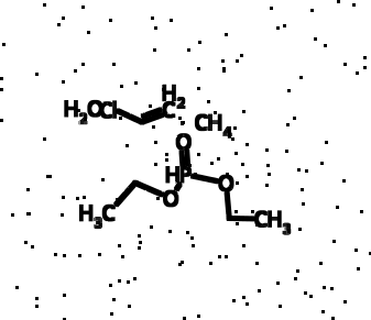 C.C=CCl.CCO[PH](=O)OCC.O